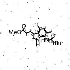 COC(=O)CCC1CNc2c(NC(=O)C(C)(C)C)c(C)cc(C)c21